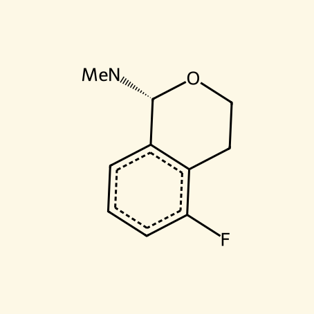 CN[C@@H]1OCCc2c(F)cccc21